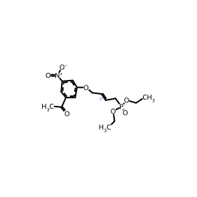 CCOP(=O)(C/C=C/COc1cc(C(C)=O)cc([N+](=O)[O-])c1)OCC